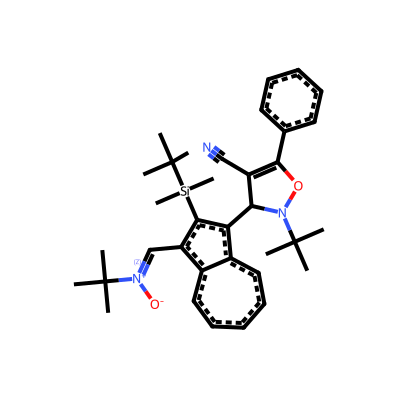 CC(C)(C)N1OC(c2ccccc2)=C(C#N)C1c1c2cccccc-2c(/C=[N+](\[O-])C(C)(C)C)c1[Si](C)(C)C(C)(C)C